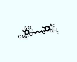 COc1cc(C)c([N+](=O)[O-])cc1OCCCCCOc1cc(N)c(C(C)=O)cc1C